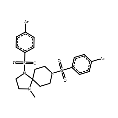 CC(=O)c1ccc(S(=O)(=O)N2CCC3(CC2)N(C)CCN3S(=O)(=O)c2ccc(C(C)=O)cc2)cc1